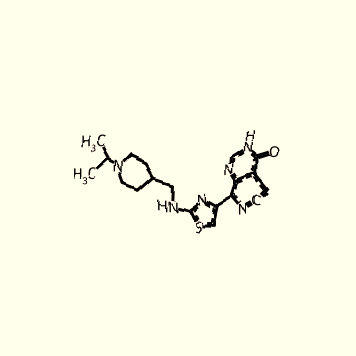 CC(C)N1CCC(CNc2nc(-c3nccc4c(=O)[nH]cnc34)cs2)CC1